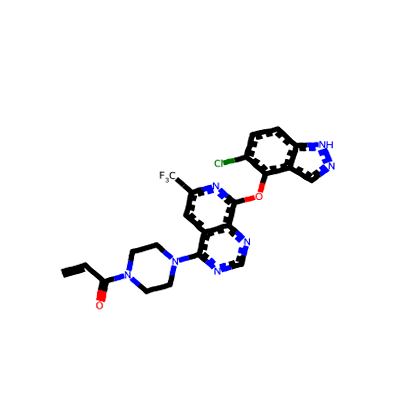 C=CC(=O)N1CCN(c2ncnc3c(Oc4c(Cl)ccc5[nH]ncc45)nc(C(F)(F)F)cc23)CC1